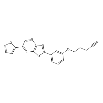 N#CCCCOc1cccc(-c2nc3ncc(-c4ccco4)cc3o2)c1